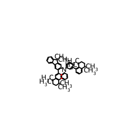 CC1(C)CCC(C)(C)c2cc(-c3cc4c(cc3N(c3ccccc3)c3cccc(-c5cccc6c5C(C)(C)CCC6(C)C)c3)C(C)(C)c3ccccc3-4)ccc21